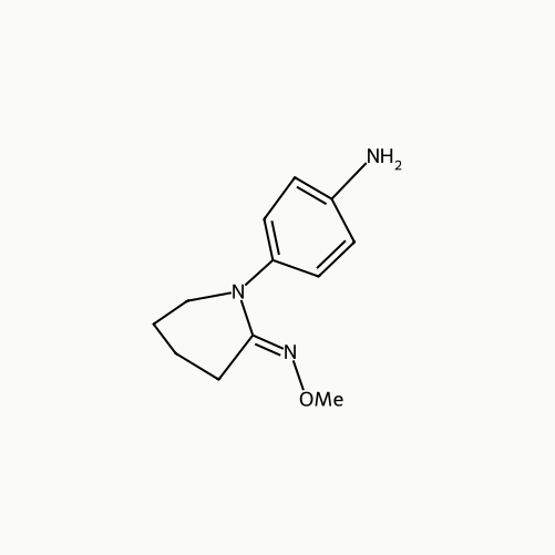 CON=C1CCCCN1c1ccc(N)cc1